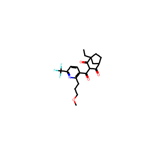 CCC12CCC(C1)C(=O)C(C(=O)c1ccc(C(F)(F)F)nc1CCCOC)C2=O